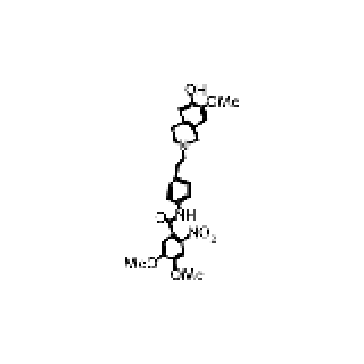 COc1cc2c(cc1O)CCN(CCc1ccc(NC(=O)c3cc(OC)c(OC)cc3[N+](=O)[O-])cc1)C2